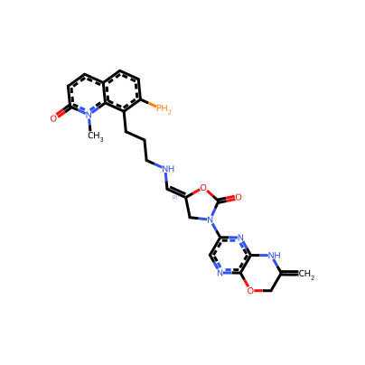 C=C1COc2ncc(N3C/C(=C/NCCCc4c(P)ccc5ccc(=O)n(C)c45)OC3=O)nc2N1